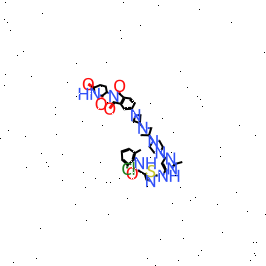 Cc1nc(Nc2ncc(C(=O)Nc3c(C)cccc3Cl)s2)cc(N2CCN(C3CN(C4CN(c5ccc6c(c5)C(=O)N(C5CCC(=O)NC5=O)C6=O)C4)C3)CC2)n1